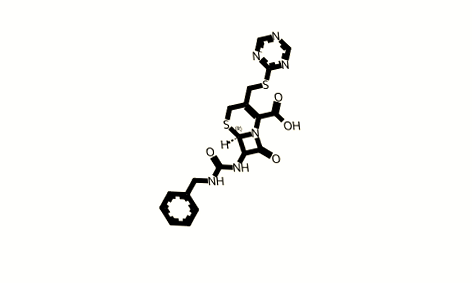 O=C(NCc1ccccc1)NC1C(=O)N2C(C(=O)O)=C(CSc3ncncn3)CS[C@H]12